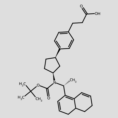 C[C@H](C1=C2C=CCCC2CC=C1)N(C(=O)OC(C)(C)C)[C@H]1CC[C@@H](c2ccc(CCC(=O)O)cc2)C1